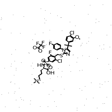 COc1cc(C(C)(C)c2cnc(SCc3c(F)cc(S(=O)(=O)N[C@H](CCCC[N+](C)(C)C)C(=O)O)cc3Cl)n2-c2ccc(F)cc2)ccc1Cl.O=C([O-])C(F)(F)F